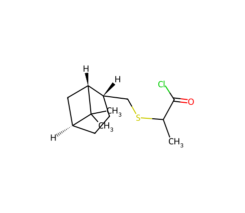 CC(SC[C@@H]1CC[C@H]2C[C@H]1C2(C)C)C(=O)Cl